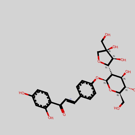 O=C(/C=C/c1ccc(O[C@@H]2O[C@H](CO)[C@@H](O)[C@H](O)C2[C@@H]2OC[C@](O)(CO)[C@H]2O)cc1)c1ccc(O)cc1O